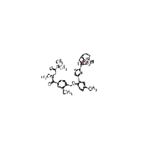 Cc1ccc(OCc2ccc(C(=O)N(C)CC(=O)N(C)C)cc2C)c(-c2csc(N3CC4CC[C@@H](C3)[C@H]4C(=O)O)n2)c1